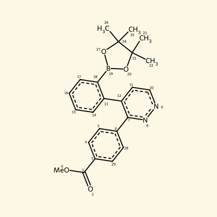 COC(=O)c1ccc(-c2nnccc2-c2ccccc2B2OC(C)(C)C(C)(C)O2)cc1